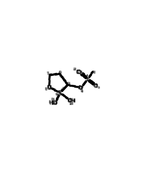 CS(=O)(=O)OC1CCOS1(O)O